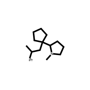 CC(C)C(C)CC1(C2CCCN2C)CCCC1